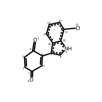 O=C1C=CC(=O)C(c2c[nH]c3c(Cl)cccc23)=C1